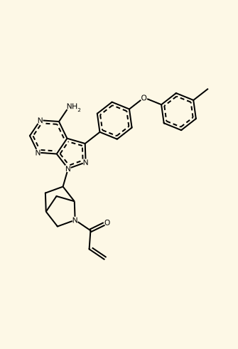 C=CC(=O)N1CC2CC1C(n1nc(-c3ccc(Oc4cccc(C)c4)cc3)c3c(N)ncnc31)C2